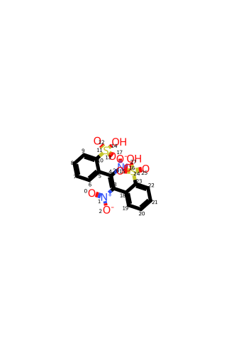 O=[N+]([O-])C(=C(c1ccccc1S(=O)(=O)O)[N+](=O)[O-])c1ccccc1S(=O)(=O)O